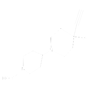 C#CC1(O)CCN(C2CCN(C(=O)O)CC2)CC1